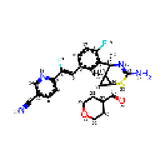 C[C@]1(c2cc(/C=C(\F)c3ccc(C#N)cn3)ccc2F)N=C(N)S[C@@]2(C(=O)C3CCOCC3)C[C@H]21